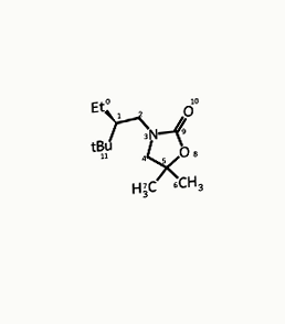 CC[C@@H](CN1CC(C)(C)OC1=O)C(C)(C)C